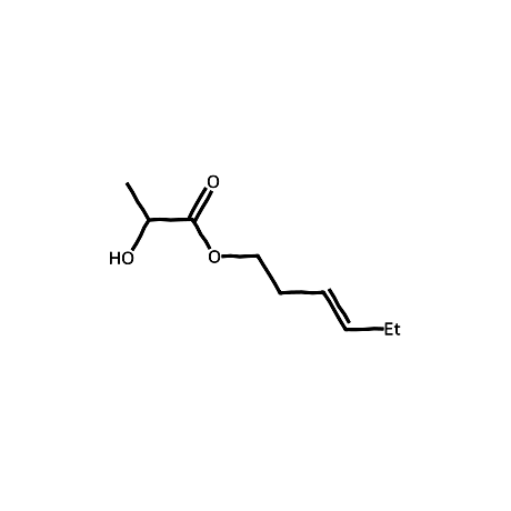 CCC=CCCOC(=O)C(C)O